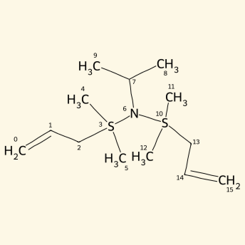 C=CCS(C)(C)N(C(C)C)S(C)(C)CC=C